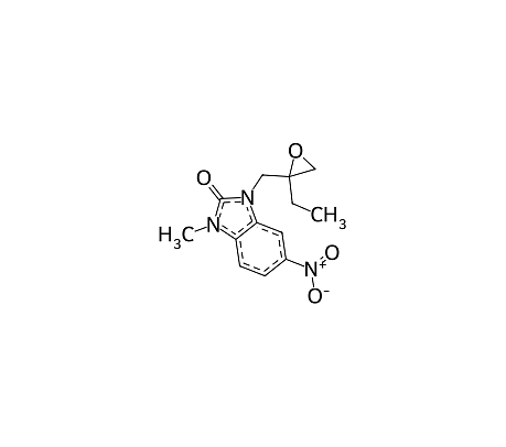 CCC1(Cn2c(=O)n(C)c3ccc([N+](=O)[O-])cc32)CO1